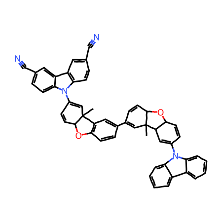 CC12C=C(n3c4ccc(C#N)cc4c4cc(C#N)ccc43)C=CC1Oc1ccc(C3=CC4(C)C(C=C3)OC3C=CC(n5c6ccccc6c6ccccc65)=CC34)cc12